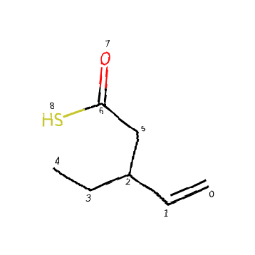 C=CC(CC)CC(=O)S